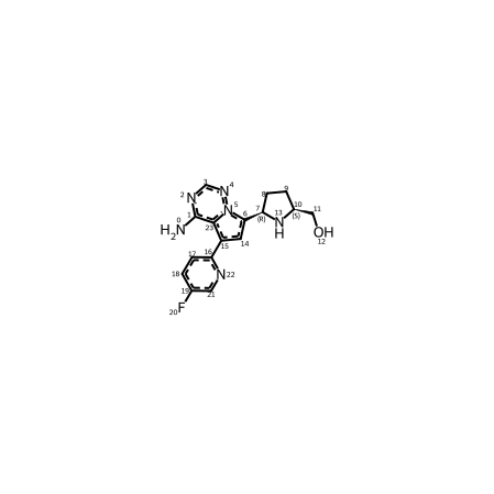 Nc1ncnn2c([C@H]3CC[C@@H](CO)N3)cc(-c3ccc(F)cn3)c12